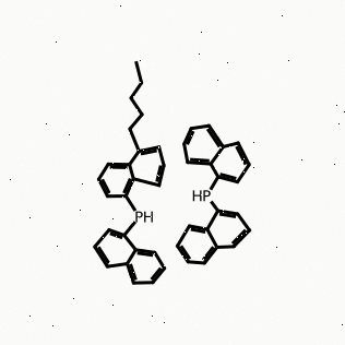 CCCCCc1cccc2c(Pc3cccc4ccccc34)cccc12.c1ccc2c(Pc3cccc4ccccc34)cccc2c1